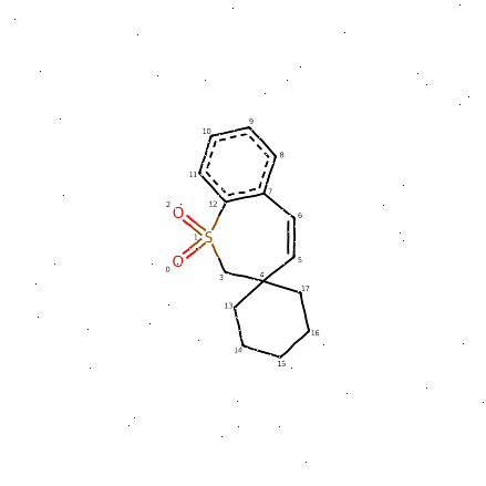 O=S1(=O)CC2(C=Cc3ccccc31)CCCCC2